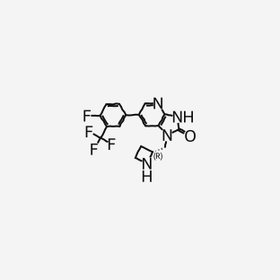 O=c1[nH]c2ncc(-c3ccc(F)c(C(F)(F)F)c3)cc2n1C[C@H]1CCN1